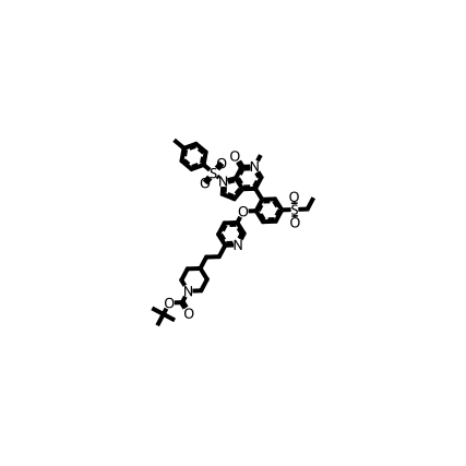 CCS(=O)(=O)c1ccc(Oc2ccc(CCC3CCN(C(=O)OC(C)(C)C)CC3)nc2)c(-c2cn(C)c(=O)c3c2ccn3S(=O)(=O)c2ccc(C)cc2)c1